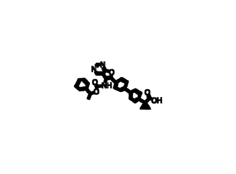 CC(OC(=O)Nc1c(-c2ccc(-c3ccc(C4(C(=O)O)CC4)cc3)cc2)oc2ncncc12)c1ccccc1